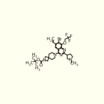 C=Cc1cc2c(N3CCC4(CC3)CN(C(=O)OC(C)(C)C)C4)nc(C3CCN(C)C3)nc2c(OCC(F)(F)F)c1Br